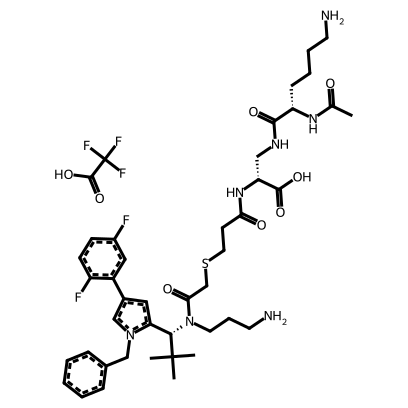 CC(=O)N[C@@H](CCCCN)C(=O)NC[C@@H](NC(=O)CCSCC(=O)N(CCCN)[C@@H](c1cc(-c2cc(F)ccc2F)cn1Cc1ccccc1)C(C)(C)C)C(=O)O.O=C(O)C(F)(F)F